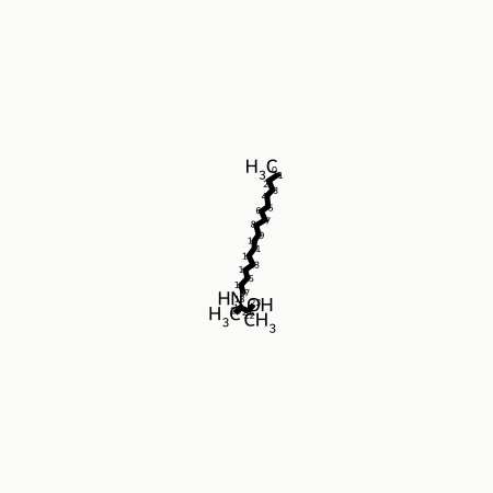 CCCCCCCCCCCCCCCCCCNC(C)C(C)O